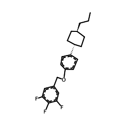 CCC[C@H]1CC[C@H](c2ccc(OCc3cc(F)c(F)c(F)c3)cc2)CC1